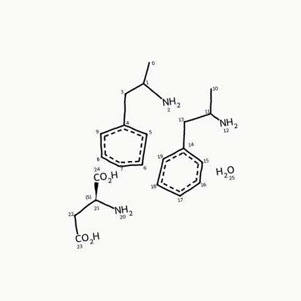 CC(N)Cc1ccccc1.CC(N)Cc1ccccc1.N[C@@H](CC(=O)O)C(=O)O.O